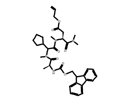 C=CCOC(=O)C[C@@H](C(=O)N(C)C)N(C)C(=O)C(C1CCCC1)N(C)C(=O)[C@H](C)NC(=O)OCC1c2ccccc2-c2ccccc21